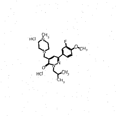 COc1ccc(-c2cc(CN3CCN(C)CC3)c(=O)n(CC(C)C)n2)cc1F.Cl.Cl